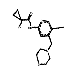 CCC1(C(=O)Nc2cc(CN3CCOCC3)c(C)cn2)CC1